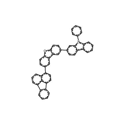 c1ccc(-n2c3ccccc3c3ccc(-c4ccc5oc6ccc(-c7ccc8c9c(cccc79)-c7ccccc7-8)cc6c5c4)cc32)cc1